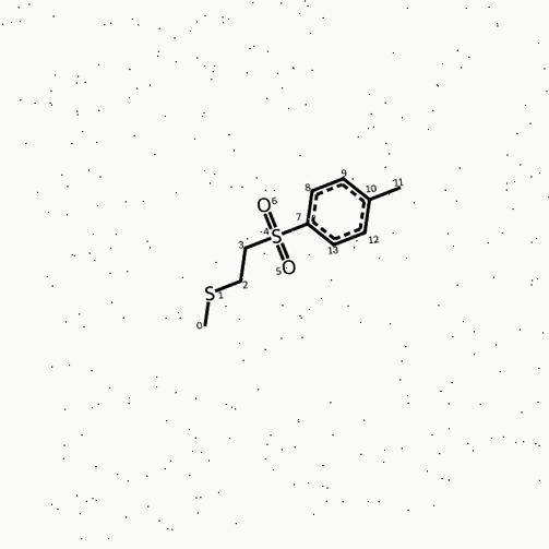 CSCCS(=O)(=O)c1ccc(C)cc1